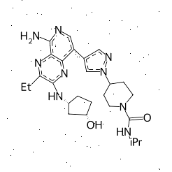 CCc1nc2c(N)ncc(-c3cnn(C4CCN(C(=O)NC(C)C)CC4)c3)c2nc1N[C@@H]1CC[C@H](O)C1